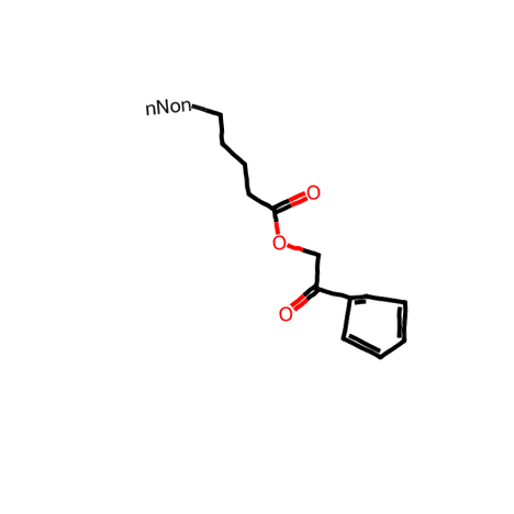 CCCCCCCCCCCCCC(=O)OCC(=O)c1ccccc1